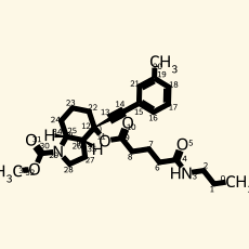 CCCNC(=O)CCCC(=O)O[C@@]1(C#Cc2cccc(C)c2)CCC[C@@H]2[C@H]1CCN2C(=O)OC